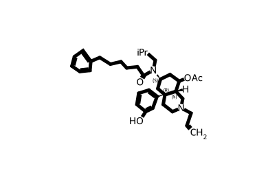 C=CCN1CC[C@@]2(c3cccc(O)c3)C[C@H](N(CC(C)C)C(=O)CCCCCc3ccccc3)CC(OC(C)=O)[C@@H]2C1